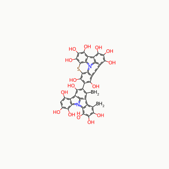 Bc1c(O)c(O)c(O)c2c1c1c(B)c(-c3c(O)c4c5c(c3O)c3c(O)c(O)c(O)c6c7c(O)c(O)c(O)c(c7n5c63)S4)c(O)c3c4c(O)cc(O)c(O)c4n2c13